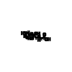 O=C(O)CNCP(=O)(O)O.c1c[nH]nn1